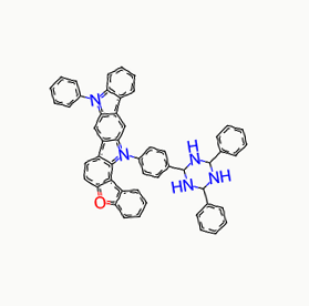 c1ccc(C2NC(c3ccccc3)NC(c3ccc(-n4c5cc6c7ccccc7n(-c7ccccc7)c6cc5c5ccc6oc7ccccc7c6c54)cc3)N2)cc1